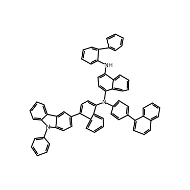 c1ccc(-c2ccccc2Nc2ccc(N(c3ccc(-c4cccc5ccccc45)cc3)c3ccc(-c4ccc5c(c4)c4ccccc4n5-c4ccccc4)c4ccccc34)c3ccccc23)cc1